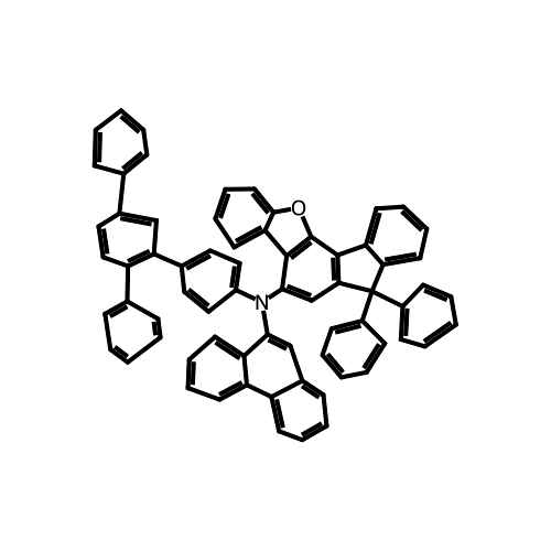 c1ccc(-c2ccc(-c3ccccc3)c(-c3ccc(N(c4cc5ccccc5c5ccccc45)c4cc5c(c6oc7ccccc7c46)-c4ccccc4C5(c4ccccc4)c4ccccc4)cc3)c2)cc1